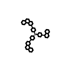 c1ccc2c(-c3ccc(N(c4ccc(-c5ccc6ccc7ccccc7c6c5)cc4)c4ccc(-c5ccc6ccc7ccccc7c6c5)cc4)cc3)cccc2c1